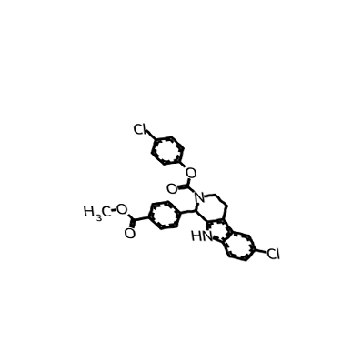 COC(=O)c1ccc(C2c3[nH]c4ccc(Cl)cc4c3CCN2C(=O)Oc2ccc(Cl)cc2)cc1